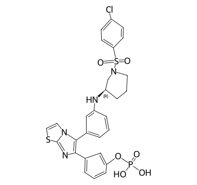 O=P(O)(O)Oc1cccc(-c2nc3sccn3c2-c2cccc(N[C@@H]3CCCN(S(=O)(=O)c4ccc(Cl)cc4)C3)c2)c1